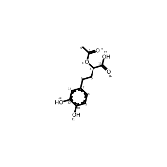 CC(=O)O[C@H](CCc1ccc(O)c(O)c1)C(=O)O